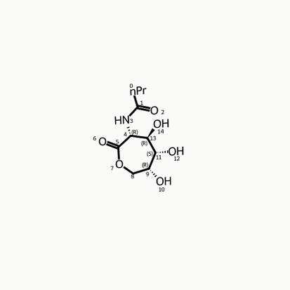 CCCC(=O)N[C@H]1C(=O)OC[C@@H](O)[C@@H](O)[C@@H]1O